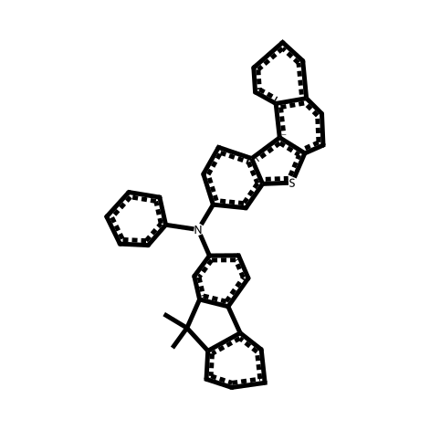 CC1(C)c2ccccc2-c2ccc(N(c3ccccc3)c3ccc4c(c3)sc3ccc5ccccc5c34)cc21